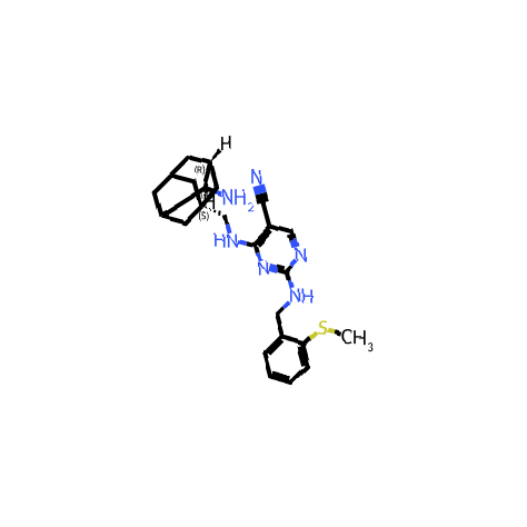 CSc1ccccc1CNc1ncc(C#N)c(NC[C@@]23CC4CC(C2)[C@H](N)[C@H](C4)C3)n1